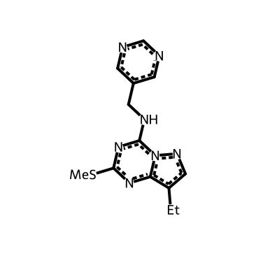 CCc1cnn2c(NCc3cncnc3)nc(SC)nc12